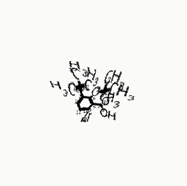 CC(C)(C)Oc1c(C(=O)O)cccc1C(C)(C)C.[Zr]